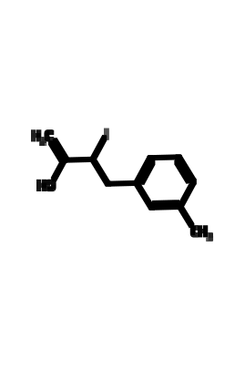 C=C(O)C(I)Cc1cccc(C)c1